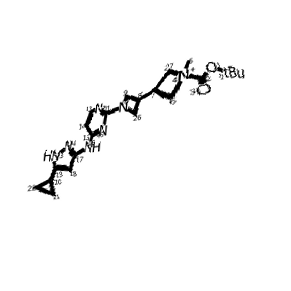 CC(C)(C)OC(=O)[N+]1(C)CC(C2CN(c3nccc(Nc4cc(C5CC5)[nH]n4)n3)C2)C1